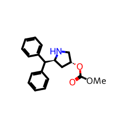 COC(=O)O[C@H]1CN[C@H](C(c2ccccc2)c2ccccc2)C1